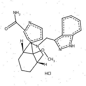 COC1(c2ccnc(C(N)=O)c2)[C@@H]2CCC[C@H]1CN(Cc1n[nH]c3ccccc13)C2.Cl